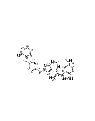 Cc1ccc2[nH]nc(N(C)c3ncnc4nn(Cc5ccc(Cn6ccccc6=O)cc5)cc34)c2c1